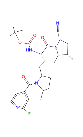 CC1CCC(CC[C@H](NC(=O)OC(C)(C)C)C(=O)N2C(C)[C@@H](C)C[C@H]2C#N)N1C(=O)c1ccnc(F)c1